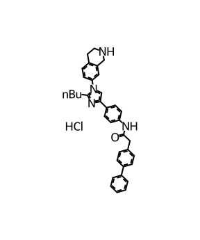 CCCCc1nc(-c2ccc(NC(=O)Cc3ccc(-c4ccccc4)cc3)cc2)cn1-c1ccc2c(c1)CNCC2.Cl